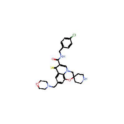 O=C(NCc1ccc(Cl)cc1)c1cn2c3c(cc(CN4CCOCC4)cc3c1=S)OC1(CCNCC1)C2